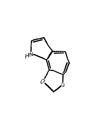 [c]1c[nH]c2c3c(ccc12)OCO3